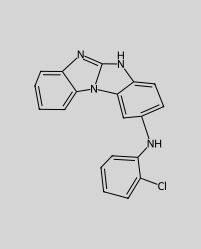 Clc1ccccc1Nc1ccc2[nH]c3nc4ccccc4n3c2c1